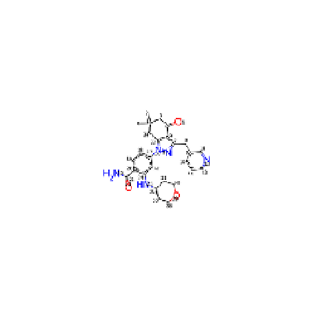 CC1(C)CC(=O)c2c(Cc3cccnc3)nn(-c3ccc(C(N)=O)c(NC4CCOCC4)c3)c2C1